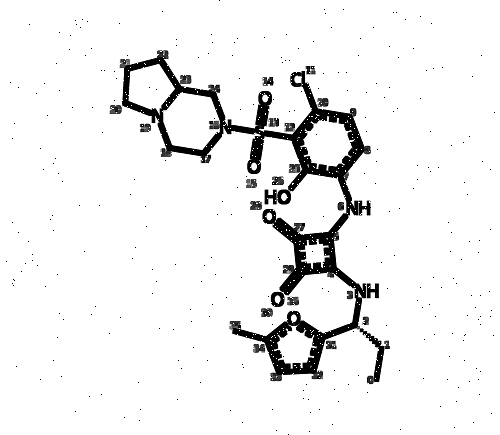 CC[C@@H](Nc1c(Nc2ccc(Cl)c(S(=O)(=O)N3CCN4CCCC4C3)c2O)c(=O)c1=O)c1ccc(C)o1